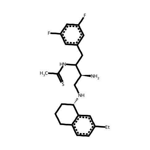 CCc1ccc2c(c1)[C@@H](NC[C@H](N)C(Cc1cc(F)cc(F)c1)NC(C)=S)CCC2